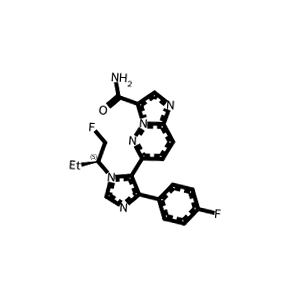 CC[C@@H](CF)n1cnc(-c2ccc(F)cc2)c1-c1ccc2ncc(C(N)=O)n2n1